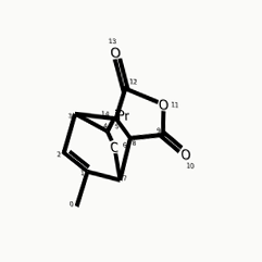 CC1=CC2C(C(C)C)CC1C1C(=O)OC(=O)C21